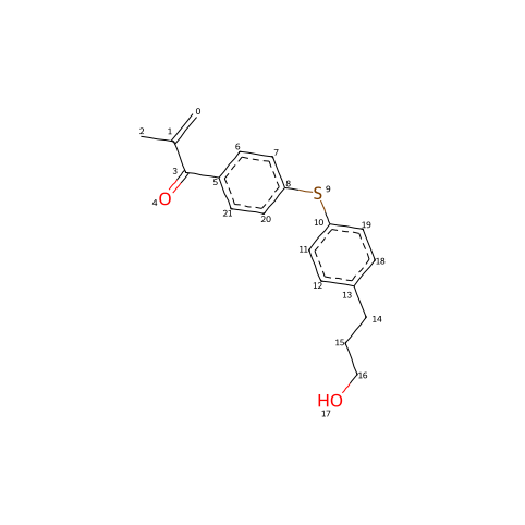 C=C(C)C(=O)c1ccc(Sc2ccc(CCCO)cc2)cc1